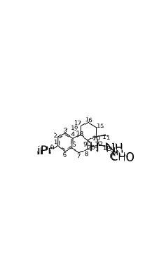 CC(C)c1ccc2c(c1)CC[C@H]1[C@@](C)(CN[C]=O)CCC[C@]21C